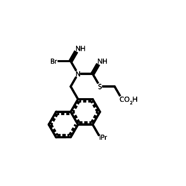 CC(C)c1ccc(CN(C(=N)Br)C(=N)SCC(=O)O)c2ccccc12